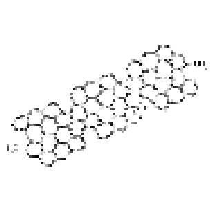 Cc1cc2ccc3cc4c5c6c7c8c(c9ccc%10cc%11cccc%12c1c1c2c3c5c2c7c9c%10c(c%11%12)c12)[C@H]1CC=c2cc3ccc5c7c9ccc%10cc%11ccc%12cc(C)c%13c%14cccc%15cc%16ccc%17c%18c%19ccc%20cc%21ccc%22c(c-8c8c1c2c1c3c5c2c(c%19c%20c3c%21c%22c8c1c32)c7c%18c1c9c%10c2c%11c%12c%13c3c(c%15%14)c%16c%17c1c23)[C@H]6CC=4